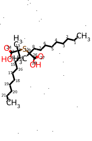 CCCCCCCCCC(C)(SC(C)(CCCCCCCCC)C(=O)O)C(=O)O